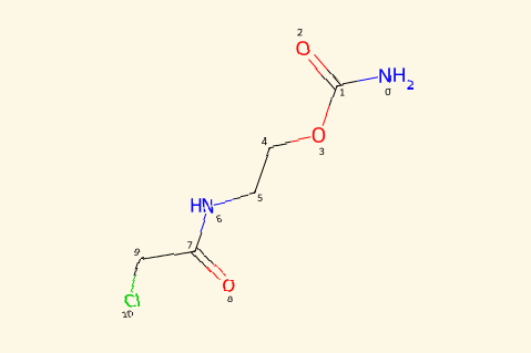 NC(=O)OCCNC(=O)CCl